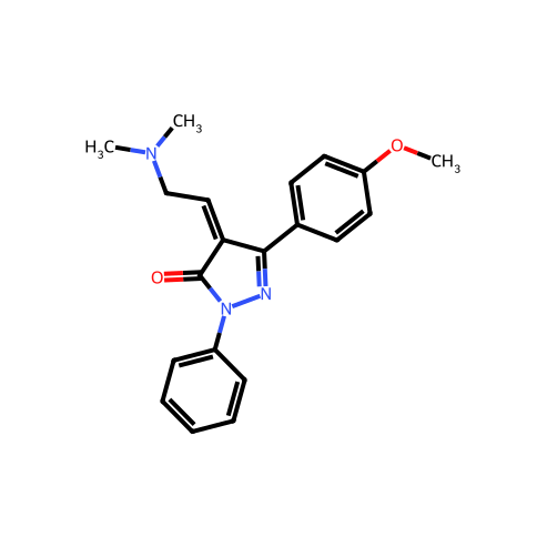 COc1ccc(C2=NN(c3ccccc3)C(=O)C2=CCN(C)C)cc1